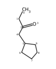 CCC(=O)CC1CCCC1